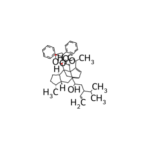 C=CC(CC(O)C12C[C@@H]3[C@H](C)CC[C@H]3C3(C4OCCO4)CC1C=C(C(C)C)C23C(=O)OC(c1ccccc1)c1ccccc1)C(C)C